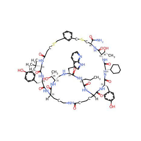 CCC[C@@H]1NC(=O)[C@H](Cc2c[nH]c3ncccc23)NC[C@@H]([C@@H](C)O)NC(=O)[C@@H]2CCCNC(=O)CCC[C@H](NC1=O)C(=O)N[C@@H](Cc1ccc(O)cc1)C(=O)N[C@@H](C1CCCCC1)C(=O)N[C@@H]([C@@H](C)O)C(=O)N[C@H](C(N)=O)CSCc1cccc(c1)CSCCC(=O)N[C@@H](C(C)(C)C)C(=O)N[C@@H](Cc1ccc(O)cc1)C(=O)N2